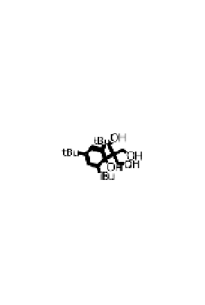 CCC(C)C1C=C(C(C)(C)C)C=C(C(C)(C)C)C1(O)C(CO)(CO)CO